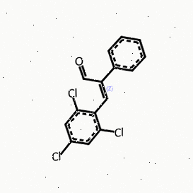 O=C/C(=C\c1c(Cl)cc(Cl)cc1Cl)c1ccccc1